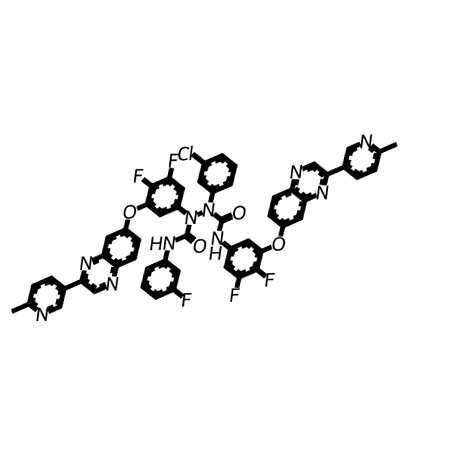 Cc1ccc(-c2cnc3ccc(Oc4cc(NC(=O)N(c5cccc(Cl)c5)N(C(=O)Nc5cccc(F)c5)c5cc(F)c(F)c(Oc6ccc7ncc(-c8ccc(C)nc8)nc7c6)c5)cc(F)c4F)cc3n2)cn1